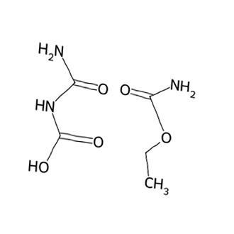 CCOC(N)=O.NC(=O)NC(=O)O